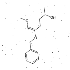 CON=C(CCC(C)O)OCc1ccccc1